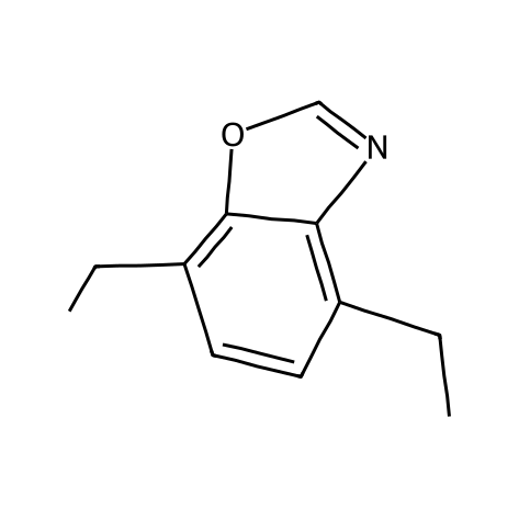 CCc1ccc(CC)c2ocnc12